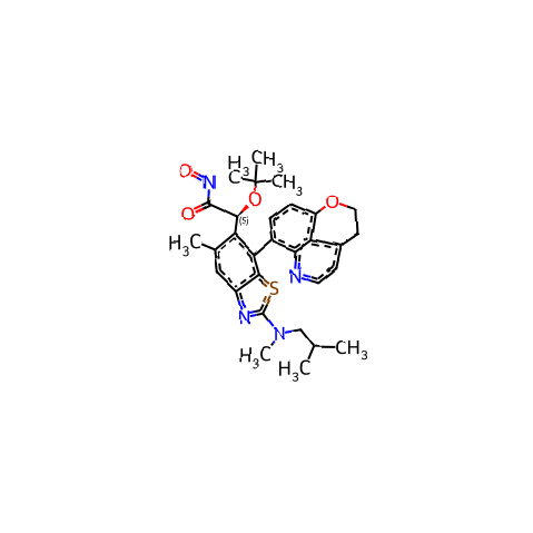 Cc1cc2nc(N(C)CC(C)C)sc2c(-c2ccc3c4c(ccnc24)CCO3)c1[C@H](OC(C)(C)C)C(=O)N=O